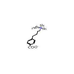 CCCC[N+](CCCC)(CCCC)CCCCc1ccc(C(=O)[O-])cc1